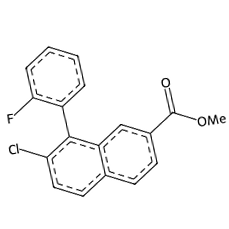 COC(=O)c1ccc2ccc(Cl)c(-c3ccccc3F)c2c1